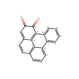 O=c1cc2ccc3cccc4c5ccccc5c(c1=O)c2c34